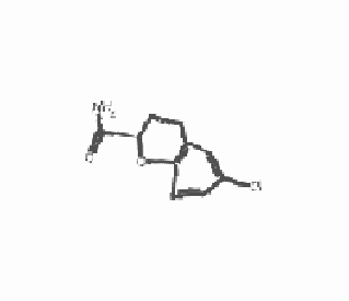 NC(=O)[C@H]1CCc2cc(Cl)ccc2O1